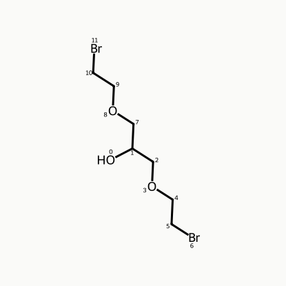 OC(COCCBr)COCCBr